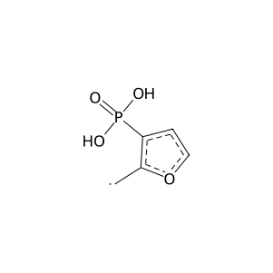 [CH2]c1occc1P(=O)(O)O